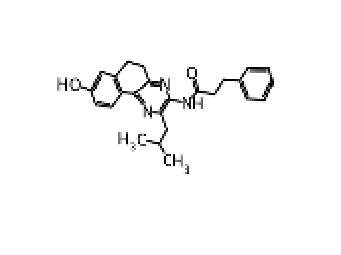 CC(C)Cc1nc2c(nc1NC(=O)CCc1ccccc1)CCc1cc(O)ccc1-2